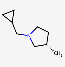 C[C@H]1CCN(CC2CC2)C1